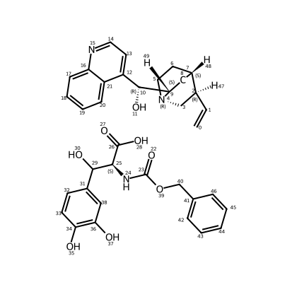 C=C[C@H]1C[N@]2CC[C@H]1C[C@H]2[C@H](O)c1ccnc2ccccc12.O=C(N[C@H](C(=O)O)C(O)c1ccc(O)c(O)c1)OCc1ccccc1